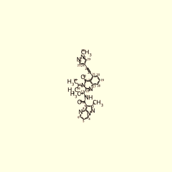 Cc1nn2cccnc2c1C(=O)N[C@@H](C)c1nc2cccc(C#Cc3cnn(C)c3)c2c(=O)n1C(C)C